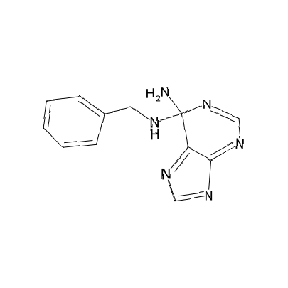 NC1(NCc2ccccc2)N=CN=C2N=CN=C21